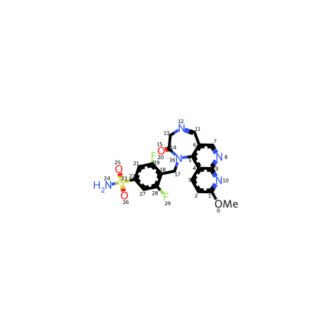 COc1ccc2c3c(cnc2n1)C=NCC(=O)N3Cc1c(F)cc(S(N)(=O)=O)cc1F